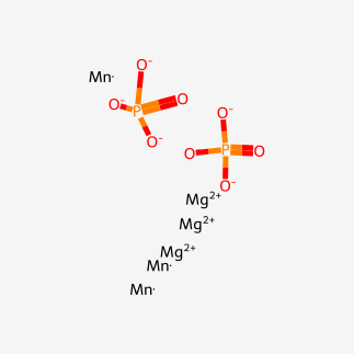 O=P([O-])([O-])[O-].O=P([O-])([O-])[O-].[Mg+2].[Mg+2].[Mg+2].[Mn].[Mn].[Mn]